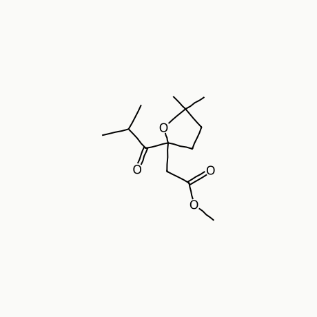 COC(=O)CC1(C(=O)C(C)C)CCC(C)(C)O1